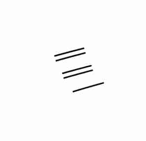 C=C.C=C.CC